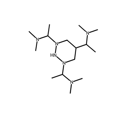 CC(C1CN(C(C)N(C)C)NN(C(C)N(C)C)C1)N(C)C